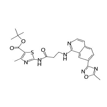 Cc1nc(-c2ccc3ccnc(NCCC(=O)Nc4nc(C)c(C(=O)OC(C)(C)C)s4)c3c2)no1